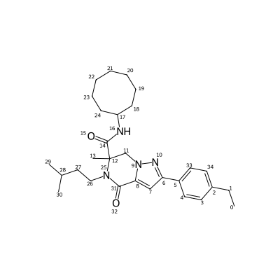 CCc1ccc(-c2cc3n(n2)CC(C)(C(=O)NC2CCCCCCC2)N(CCC(C)C)C3=O)cc1